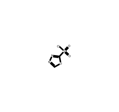 O=S(=O)(Cl)c1nnco1